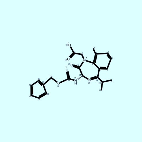 Cc1cccc2c1N(CC(=O)O)C(=O)[C@@H](NC(=O)OCc1ccccc1)N=C2C(C)C